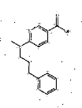 CN(CCCc1ccccc1)c1ccc(C(=O)O)cn1